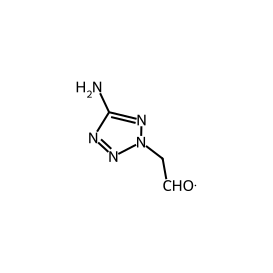 Nc1nnn(C[C]=O)n1